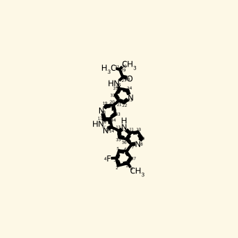 Cc1cc(F)cc(-c2nccc3[nH]c(-c4n[nH]c5ncc(-c6cncc(NC(=O)C(C)C)c6)cc45)cc23)c1